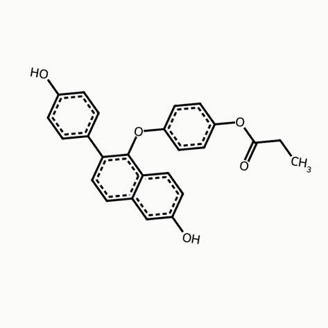 CCC(=O)Oc1ccc(Oc2c(-c3ccc(O)cc3)ccc3cc(O)ccc23)cc1